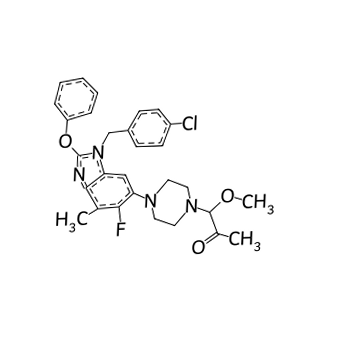 COC(C(C)=O)N1CCN(c2cc3c(nc(Oc4ccccc4)n3Cc3ccc(Cl)cc3)c(C)c2F)CC1